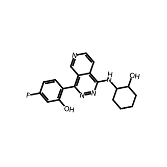 Oc1cc(F)ccc1-c1nnc(NC2CCCCC2O)c2ccncc12